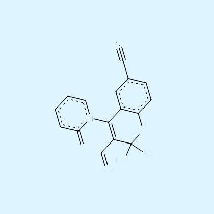 CC1(C)Oc2ccc(C#N)cc2C(n2ccccc2=O)=C1C=O